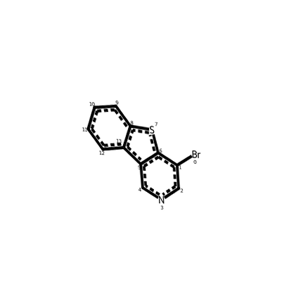 Brc1cncc2c1sc1ccccc12